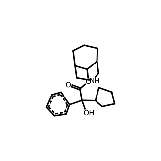 O=C(OC1C2CCCC1CNC2)C(O)(c1ccccc1)C1CCCC1